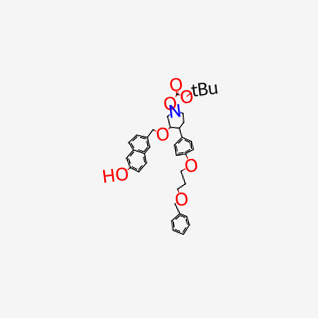 CC(C)(C)OC(=O)ON1CCC(c2ccc(OCCCOCc3ccccc3)cc2)C(OCc2ccc3cc(O)ccc3c2)C1